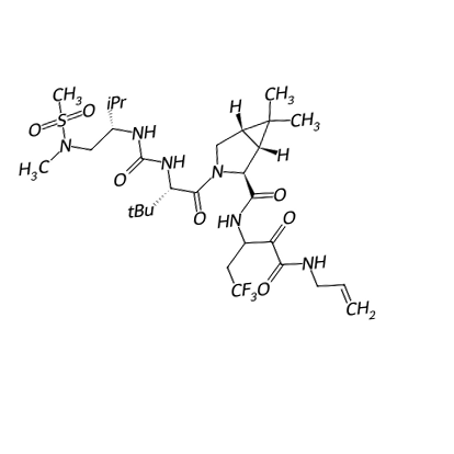 C=CCNC(=O)C(=O)C(CC(F)(F)F)NC(=O)[C@@H]1[C@@H]2[C@H](CN1C(=O)[C@@H](NC(=O)N[C@H](CN(C)S(C)(=O)=O)C(C)C)C(C)(C)C)C2(C)C